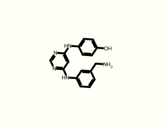 NCc1cccc(Nc2cc(Nc3ccc(O)cc3)ncn2)c1